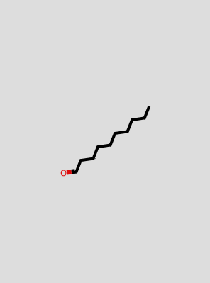 CCCCCCC[CH]CC=O